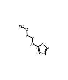 CCOCCOc1nncs1